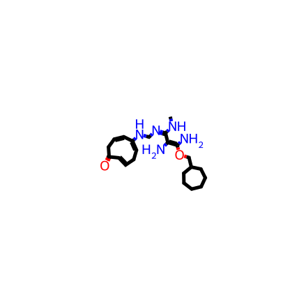 CNC(=N/CNC1=C/C/C=C/C(=O)C/C=C\1)/C(N)=C(\N)OCC1CCCCCC1